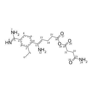 CCc1cc(C(=N)N)ccc1C(N)=CCCC(=O)OC(=O)CCC(N)=O